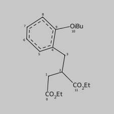 CCOC(=O)CC(Cc1ccccc1OCC(C)C)C(=O)OCC